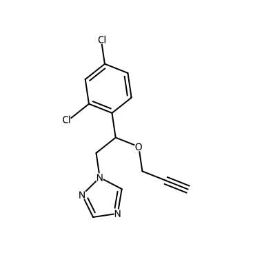 C#CCOC(Cn1cncn1)c1ccc(Cl)cc1Cl